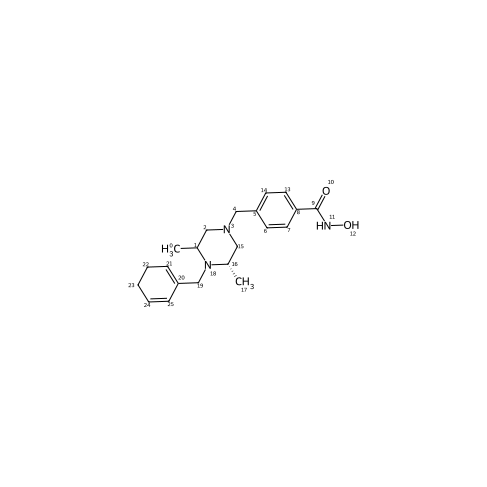 CC1CN(Cc2ccc(C(=O)NO)cc2)C[C@H](C)N1CC1=CCCC=C1